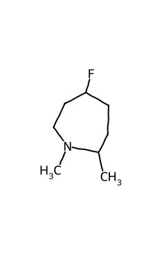 CC1CCC(F)CCN1C